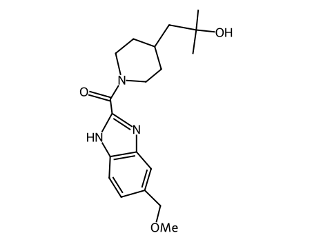 COCc1ccc2[nH]c(C(=O)N3CCC(CC(C)(C)O)CC3)nc2c1